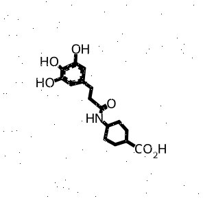 O=C(CCc1cc(O)c(O)c(O)c1)NC1CCC(C(=O)O)CC1